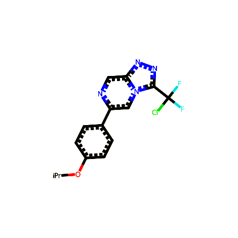 CC(C)Oc1ccc(-c2cn3c(C(F)(F)Cl)nnc3cn2)cc1